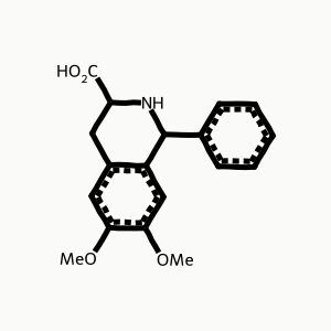 COc1cc2c(cc1OC)C(c1ccccc1)NC(C(=O)O)C2